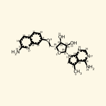 Cc1cn([C@@H]2O[C@H](COc3ccc4ccc(N)nc4c3)[C@@H](O)[C@H]2O)c2ncnc(N)c12